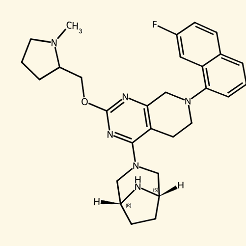 CN1CCCC1COc1nc2c(c(N3C[C@H]4CC[C@@H](C3)N4)n1)CCN(c1cccc3ccc(F)cc13)C2